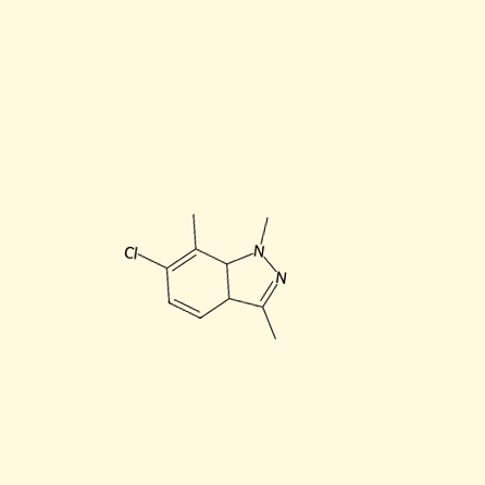 CC1=NN(C)C2C(C)=C(Cl)C=CC12